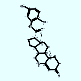 CC(C)(C)c1ccc(C(C)(C)C)c(NC(=O)[C@H]2CCC3C4CNC5=CC(=O)CC[C@]5(C)C4CC[C@@]32C)c1